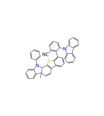 CC12C=Cc3c(sc4c(-c5c(C#N)cccc5-n5c6ccccc6c6ccccc65)cccc34)C1N(c1ccccc1)c1ccccc12